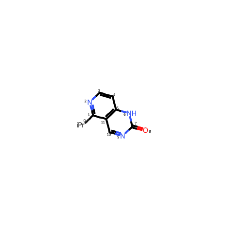 CC(C)c1nccc2[nH]c(=O)ncc12